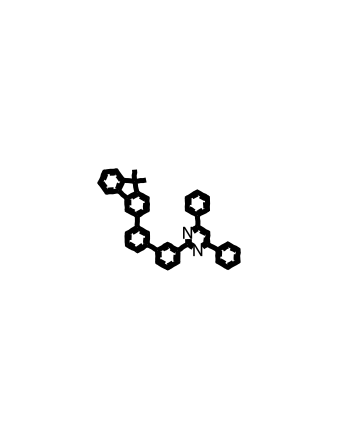 CC1(C)c2ccccc2-c2cc(-c3cccc(-c4cccc(-c5nc(-c6ccccc6)cc(-c6ccccc6)n5)c4)c3)ccc21